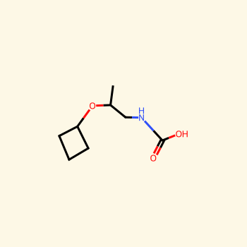 CC(CNC(=O)O)OC1CCC1